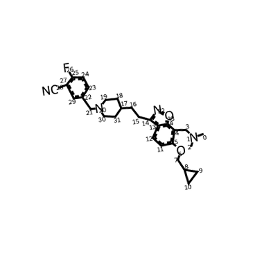 CN(C)Cc1c(OCC2CC2)ccc2c(CCC3CCN(Cc4ccc(F)c(C#N)c4)CC3)noc12